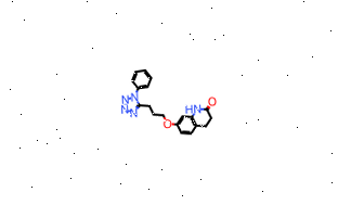 O=C1CCc2ccc(OCCCc3nnnn3-c3ccccc3)cc2N1